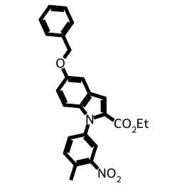 CCOC(=O)c1cc2cc(OCc3ccccc3)ccc2n1-c1ccc(C)c([N+](=O)[O-])c1